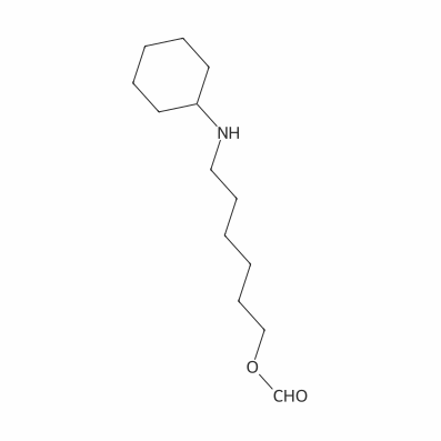 O=COCCCCCCNC1CCCCC1